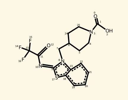 O=C(O)N1CCC(Cn2c(=NC(=O)C(F)(F)F)sc3ccccc32)CC1